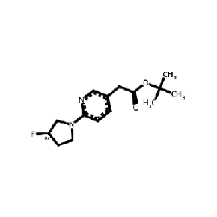 CC(C)(C)OC(=O)Cc1ccc(N2CC[C@@H](F)C2)nc1